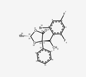 CC(c1c(F)cc(F)cc1Br)[C@@]1(c2ccccc2)O[C@H](C(C)(C)C)OC1=O